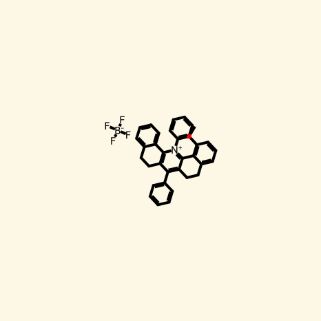 CCc1cccc2c1-c1c(c(-c3ccccc3)c3c([n+]1-c1ccccc1)-c1ccccc1CC3)CC2.F[B-](F)(F)F